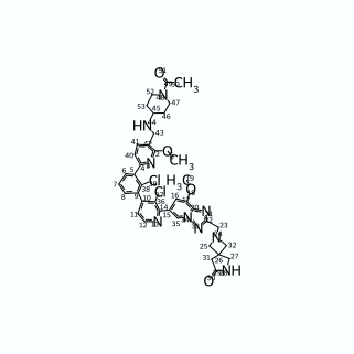 COc1nc(-c2cccc(-c3ccnc(-c4cc(OC)c5nc(CN6CC7(CNC(=O)C7)C6)nn5c4)c3Cl)c2Cl)ccc1CNC1CCN(C(C)=O)CC1